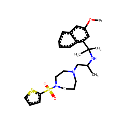 CC(CN1CCCN(S(=O)(=O)c2cccs2)CC1)NC(C)(C)c1cc(OC(C)C)cc2ccccc12